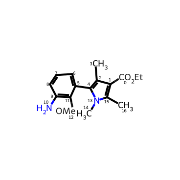 CCOC(=O)c1c(C)c(-c2cccc(N)c2OC)n(C)c1C